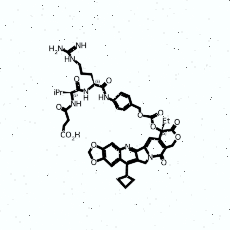 CC[C@@]1(OC(=O)OCc2ccc(NC(=O)[C@H](CCCNC(=N)N)NC(=O)[C@@H](NC(=O)CCC(=O)O)C(C)C)cc2)C(=O)OCc2c1cc1n(c2=O)Cc2c-1nc1cc3c(cc1c2C1CCC1)OCO3